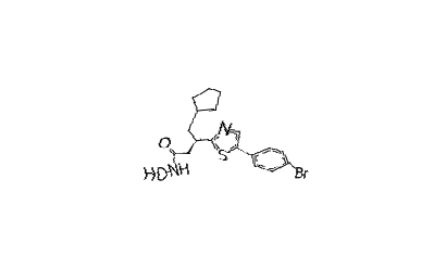 O=C(C[C@@H](CC1CCCC1)c1ncc(-c2ccc(Br)cc2)s1)NO